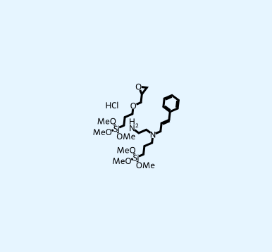 CO[Si](CCCN(C/C=C/c1ccccc1)CCN)(OC)OC.CO[Si](CCCOCC1CO1)(OC)OC.Cl